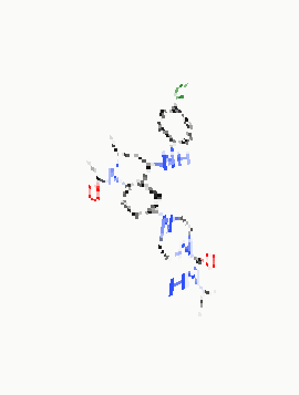 CC(=O)N1c2ccc(N3CCN(C(=O)NC(C)C)CC3)cc2C(Nc2ccc(Cl)cc2)CC1C